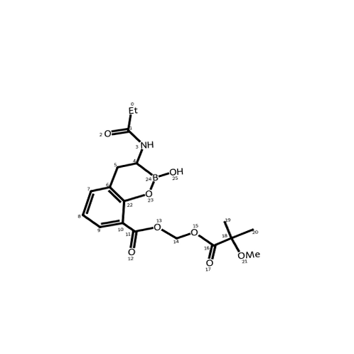 CCC(=O)NC1Cc2cccc(C(=O)OCOC(=O)C(C)(C)OC)c2OB1O